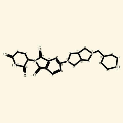 O=C1CCC(N2C(=O)c3ccc(N4CC5CN(CC6CCNCC6)CC5C4)cc3C2=O)C(=O)N1